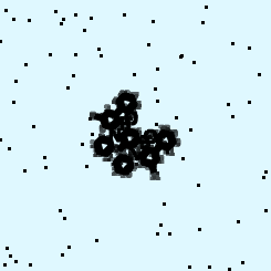 Cc1cc2c3c(c1)N(c1ccccc1)c1c(cc4c(c1C)N(c1ccccc1)c1cc(C)cc5c1B4Oc1ccccc1-5)B3Oc1ccccc1-2